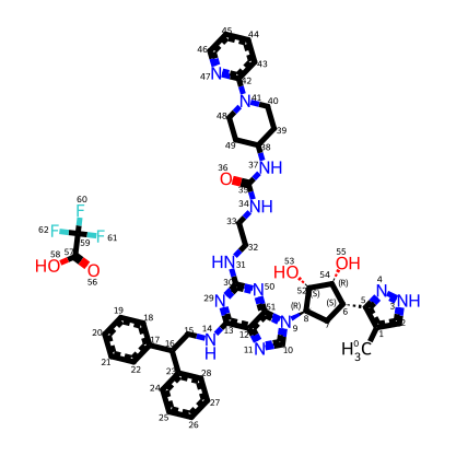 Cc1c[nH]nc1[C@@H]1C[C@@H](n2cnc3c(NCC(c4ccccc4)c4ccccc4)nc(NCCNC(=O)NC4CCN(c5ccccn5)CC4)nc32)[C@H](O)[C@@H]1O.O=C(O)C(F)(F)F